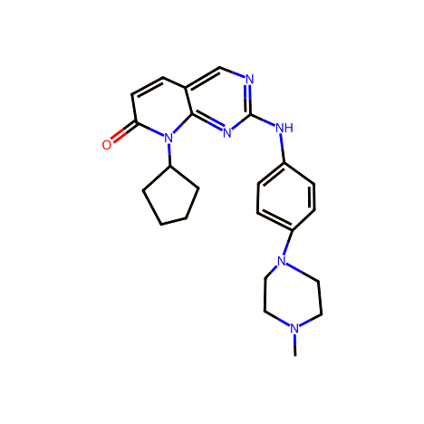 CN1CCN(c2ccc(Nc3ncc4ccc(=O)n(C5CCCC5)c4n3)cc2)CC1